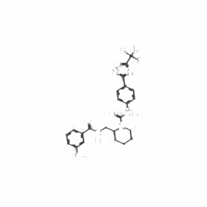 Cc1cccc(C(=O)NCC2CCCCN2C(=O)Nc2ccc(-c3noc(C(F)(F)F)n3)cc2)c1